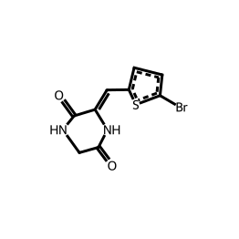 O=C1CNC(=O)C(=Cc2ccc(Br)s2)N1